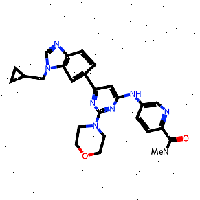 CNC(=O)c1ccc(Nc2cc(-c3ccc4ncn(CC5CC5)c4c3)nc(N3CCOCC3)n2)cn1